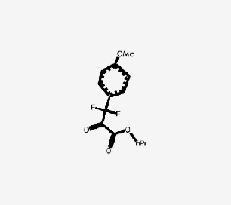 CCCOC(=O)C(=O)C(F)(F)c1ccc(OC)cc1